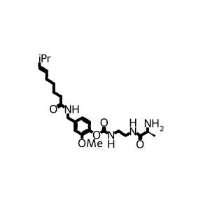 COc1cc(CNC(=O)CCCC/C=C/C(C)C)ccc1OC(=O)NCCNC(=O)[C@H](C)N